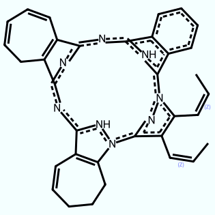 C/C=C\c1c(/C=C\C)n2nc1n1[nH]c(nc3nc(nc4[nH]c2c2ccccc42)C2=C3CC=CC=C2)C2=C1CCCC=C2